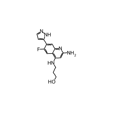 Nc1cc(NCCCO)c2cc(F)c(-c3ccn[nH]3)cc2n1